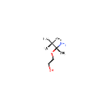 CC(C)(C)C(C)(N)OCCO